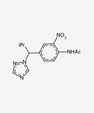 CC(=O)Nc1ccc(C(C(C)C)n2cncn2)cc1[N+](=O)[O-]